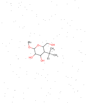 CCC(C)OC1OC(CO)C(C(C)(C)CC)C(O)C1O